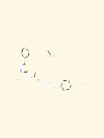 COc1ccc(CCNCCC(=O)N2CCCCc3nc(-c4ccccc4)sc32)cc1OC.O=C(O)C=CC(=O)O